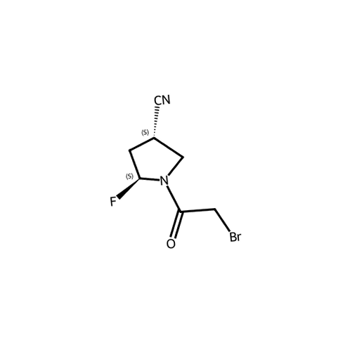 N#C[C@H]1C[C@H](F)N(C(=O)CBr)C1